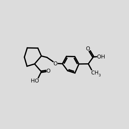 CC(C(=O)O)c1ccc(OCC2CCCCC2C(=O)O)cc1